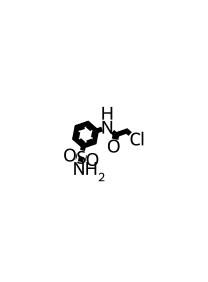 NS(=O)(=O)c1cccc(NC(=O)CCl)c1